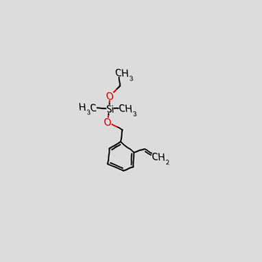 C=Cc1ccccc1CO[Si](C)(C)OCC